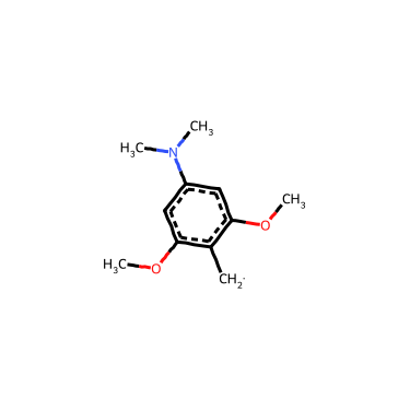 [CH2]c1c(OC)cc(N(C)C)cc1OC